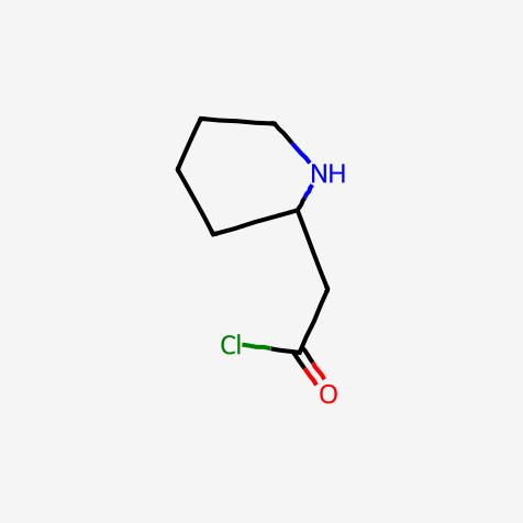 O=C(Cl)CC1CCCCN1